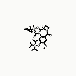 C=CCOC(=O)N1c2cc(O[Si](C(C)C)(C(C)C)C(C)C)c(OC)cc2C(=O)N2CC[C@H]2C1O[Si](C)(C)C(C)(C)C